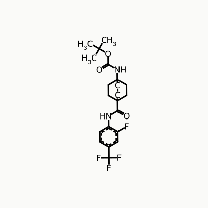 CC(C)(C)OC(=O)NC12CCC(C(=O)Nc3ccc(C(F)(F)F)cc3F)(CC1)CC2